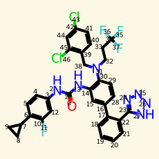 O=C(Nc1ccc(C2CC2)c(F)c1)Nc1cc(-c2ccccc2-c2nnn[nH]2)ccc1N(CCC(F)(F)F)Cc1ccc(Cl)cc1Cl